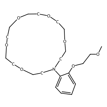 COCCOc1ccccc1N1CCOCCOCCOCCOCCOCC1